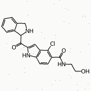 O=C(NCCO)c1ccc2[nH]c(C(=O)C3NCc4ccccc43)cc2c1Cl